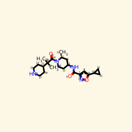 C[C@H]1CC(NC(=O)c2cc(C3CC3)on2)CCN1C(=O)C(C)(C)C1CCNCC1